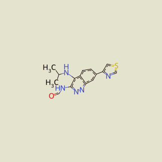 CC(C)Nc1c(NC=O)nnc2cc(-c3cscn3)ccc12